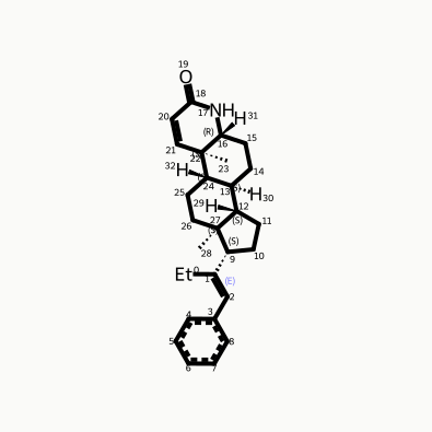 CC/C(=C\c1ccccc1)[C@H]1CC[C@H]2[C@@H]3CC[C@H]4NC(=O)C=C[C@]4(C)[C@H]3CC[C@]12C